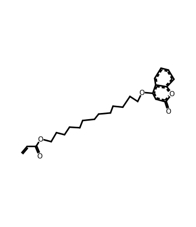 C=CC(=O)OCCCCCCCCCCCCCOc1cc(=O)oc2ccccc12